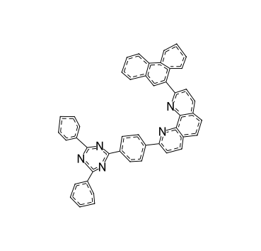 c1ccc(-c2nc(-c3ccccc3)nc(-c3ccc(-c4ccc5ccc6ccc(-c7cc8ccccc8c8ccccc78)nc6c5n4)cc3)n2)cc1